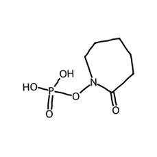 O=C1CCCCCN1OP(=O)(O)O